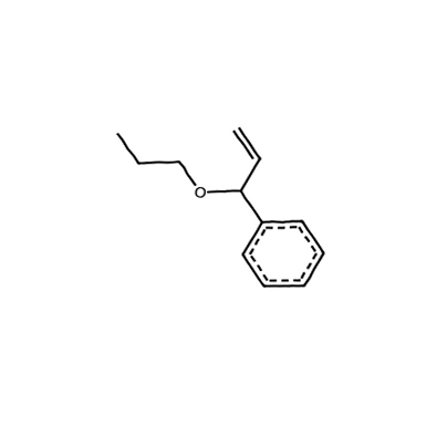 C=CC(OCCC)c1ccccc1